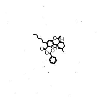 C=C1Oc2cc(CCCCC)c3c(c2[C@@H]2C=C(C)CC[C@@H]12)OC(c1ccccc1)OC3=O